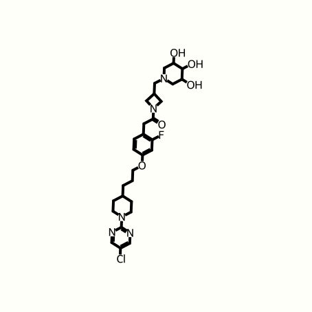 O=C(Cc1ccc(OCCCC2CCN(c3ncc(Cl)cn3)CC2)cc1F)N1CC(CN2CC(O)C(O)C(O)C2)C1